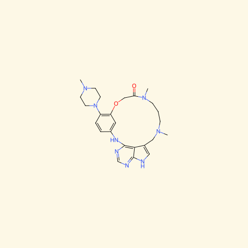 CN1CCN(c2ccc3cc2OCC(=O)N(C)CCCN(C)Cc2c[nH]c4ncnc(c24)N3)CC1